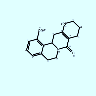 COc1cccc2c1C1CC3=C(CCCN3)C(=O)N1CC2